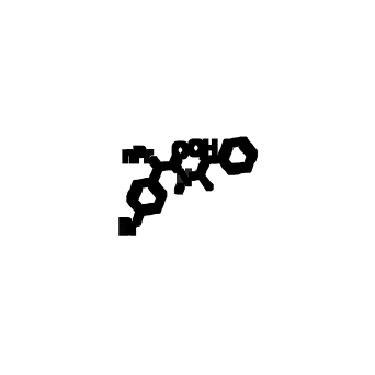 CCCC(C(=O)N(C)[C@H](C)[C@@H](O)c1ccccc1)c1ccc(Br)cc1